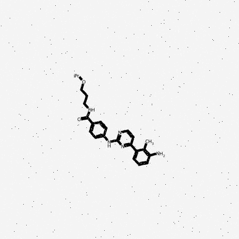 Cc1c(N)cccc1-c1ccnc(Nc2ccc(C(=O)NCCCOC(C)C)cc2)n1